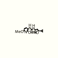 COc1ccc(NC(=O)Nc2cc(C3CC3)on2)c(OC)n1